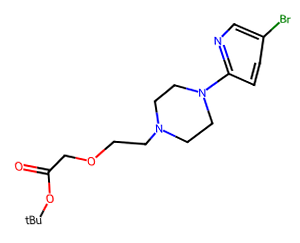 CC(C)(C)OC(=O)COCCN1CCN(c2ccc(Br)cn2)CC1